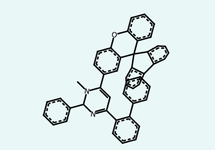 CN1C(c2ccc3c(c2)C2(c4ccccc4O3)c3ccccc3-c3ccccc32)=CC(c2ccccc2-c2ccccc2)=NC1c1ccccc1